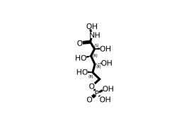 O=C(NO)[C@@H](O)[C@H](O)[C@H](O)[C@H](O)COP(=O)(O)O